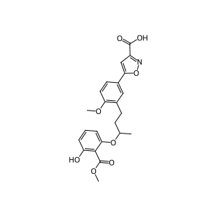 COC(=O)c1c(O)cccc1OC(C)CCc1cc(-c2cc(C(=O)O)no2)ccc1OC